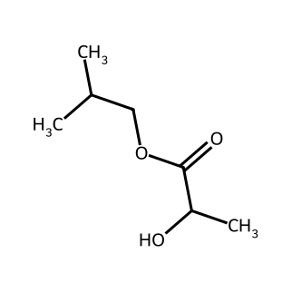 CC(C)COC(=O)C(C)O